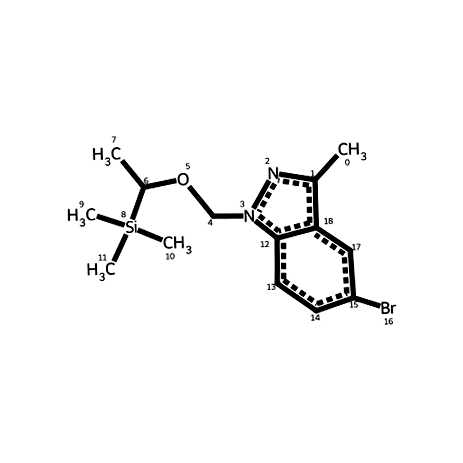 Cc1nn(COC(C)[Si](C)(C)C)c2ccc(Br)cc12